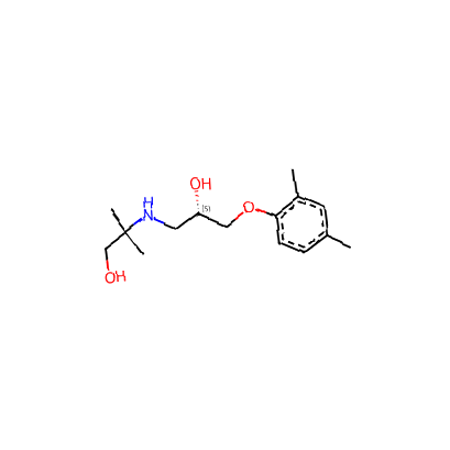 Cc1ccc(OC[C@@H](O)CNC(C)(C)CO)c(C)c1